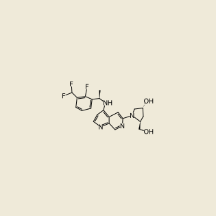 C[C@@H](Nc1ccnc2cnc(N3C[C@H](O)C[C@H]3CO)cc12)c1cccc(C(F)F)c1F